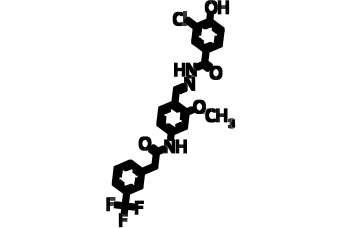 COc1cc(NC(=O)Cc2cccc(C(F)(F)F)c2)ccc1C=NNC(=O)c1ccc(O)c(Cl)c1